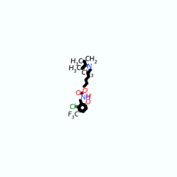 C=C(C)C(/N=C\CCCCCOC(=O)NCc1c(O)ccc(C(F)(F)F)c1Cl)=C(C)C